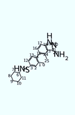 Cc1cc(SNC2CCCCC2)ccc1-c1ccc2[nH]nc(N)c2c1C